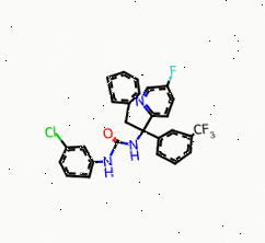 O=C(Nc1cccc(Cl)c1)NC(Cc1ccccc1)(c1cccc(C(F)(F)F)c1)c1ccc(F)cn1